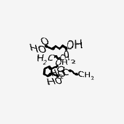 C=CC=C.C=CC=C.O=C(O)CCCCC(=O)O.O=C(O)c1ccccc1C(=O)O